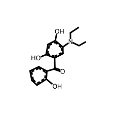 CCN(CC)c1cc(C(=O)c2ccccc2O)c(O)cc1O